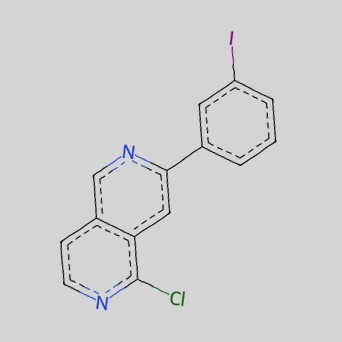 Clc1nccc2cnc(-c3cccc(I)c3)cc12